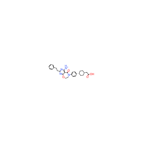 Nc1nc(CCc2ccccc2)nc2c1C(=O)N(c1ccc([C@H]3CC[C@H](CC(=O)O)CC3)cc1)CCO2